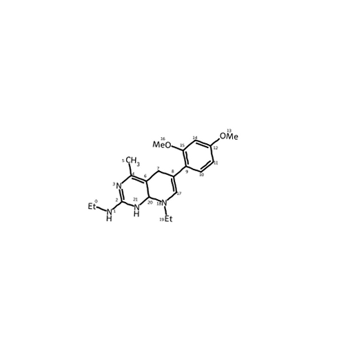 CCNC1=NC(C)=C2CC(c3ccc(OC)cc3OC)=CN(CC)C2N1